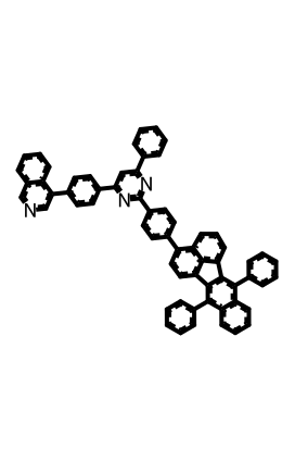 c1ccc(-c2cc(-c3ccc(-c4cncc5ccccc45)cc3)nc(-c3ccc(-c4ccc5c6c(cccc46)-c4c-5c(-c5ccccc5)c5ccccc5c4-c4ccccc4)cc3)n2)cc1